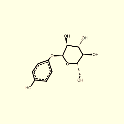 OC[C@@H]1O[C@@H](Oc2ccc(O)cc2)[C@@H](O)[C@H](O)[C@H]1O